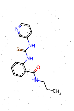 CCCNC(=O)c1ccccc1NC(=S)Nc1cccnc1